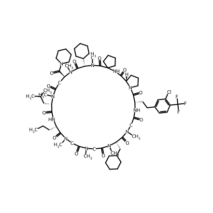 CCC[C@@H]1NC(=O)[C@H](CC(C)C)N(C)C(=O)C[C@@H](C(=O)N2CCCCC2)N(C)C(=O)[C@H](C2CCCCC2)N(C)C(=O)C2(CCCC2)NC(=O)[C@@H]2CCCN2C(=O)[C@H](CCc2ccc(C(F)(F)F)c(Cl)c2)NC(=O)CN(C)C(=O)[C@H](CC2CCCCC2)N(C)C(=O)CN(C)C(=O)CN(C)C1=O